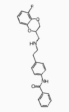 O=C(Nc1ccc(CCNCC2COc3c(F)cccc3O2)cc1)c1ccccc1